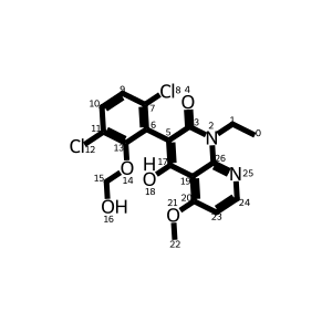 CCn1c(=O)c(-c2c(Cl)ccc(Cl)c2OCO)c(O)c2c(OC)ccnc21